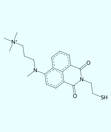 CN(CCC[N+](C)(C)C)c1ccc2c3c(cccc13)C(=O)N(CCS)C2=O